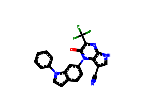 N#Cc1c[nH]c2nc(C(F)(F)F)c(=O)n(-c3ccc4ccn(-c5ccccc5)c4c3)c12